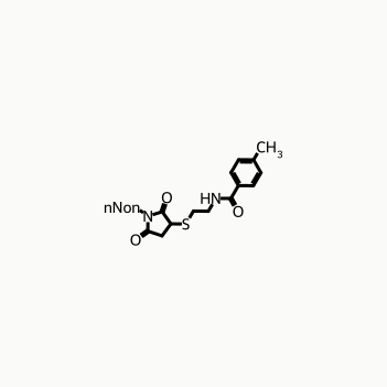 CCCCCCCCCN1C(=O)CC(SCCNC(=O)c2ccc(C)cc2)C1=O